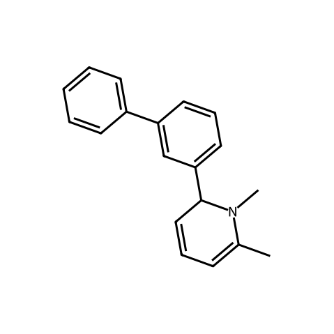 CC1=CC=CC(c2cccc(-c3ccccc3)c2)N1C